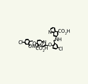 COc1cc(Cl)ccc1COc1ccc2nc(COc3ccc(Cl)cc3CNc3cc(C(=O)O)c4cccnc4c3)cn2c1C(=O)O